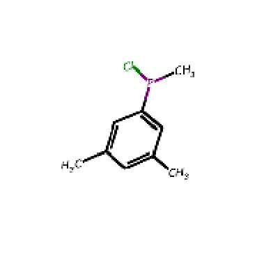 Cc1cc(C)cc(P(C)Cl)c1